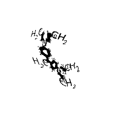 C=CCN(CC=C)c1ccc(C(=C)c2ccc(N(CC=C)CC=C)cc2)cc1